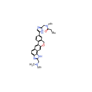 CCCN(C)Cc1nc2ccc3cc4c(cc3c2[nH]1)OCc1cc(-c2cnc(CN(CCC)C(=O)CC(C)CC)[nH]2)ccc1-4